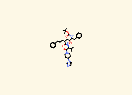 CC(C)C(NC(=O)C(CC=Cc1ccccc1)CC(O)C(Cc1ccccc1)NC(=O)OC(C)(C)C)C(=O)N1CCC(n2ccnc2)CC1